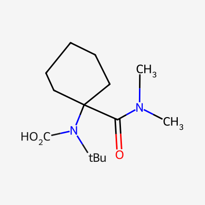 CN(C)C(=O)C1(N(C(=O)O)C(C)(C)C)CCCCC1